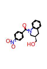 O=C(c1ccc([N+](=O)[O-])cc1)N1C[C@H](CO)Cc2ccccc21